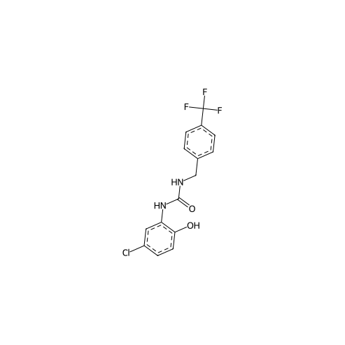 O=C(NCc1ccc(C(F)(F)F)cc1)Nc1cc(Cl)ccc1O